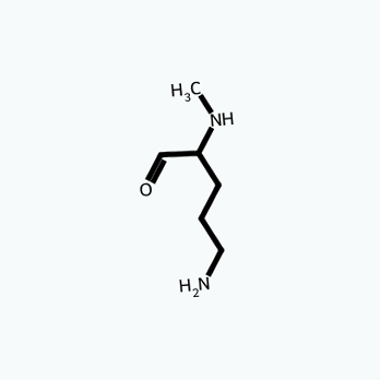 CNC(C=O)CCCN